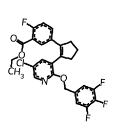 CCOC(=O)c1cc(C2=C(c3cc(Cl)cnc3OCc3cc(F)c(F)c(F)c3)CCC2)ccc1F